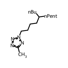 CCCCCC(CCCC)CCCCn1nnc(C)n1